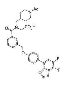 CC(=O)N1CCC(CN(CC(=O)O)C(=O)c2cccc(COc3ccc(-c4cc(F)c(F)c5ccoc45)cc3)c2)CC1